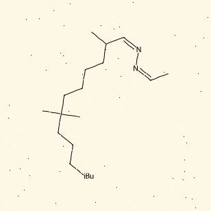 C/C=N\N=C/C(C)CCCCC(C)(C)CCCC(C)CC